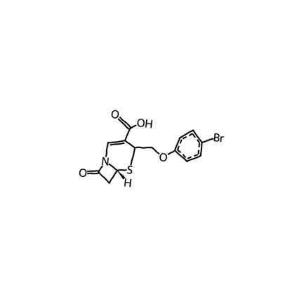 O=C(O)C1=CN2C(=O)C[C@H]2SC1COc1ccc(Br)cc1